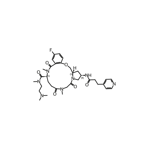 CN(C)CCN(C)C(=O)[C@@H]1CCC(=O)N(C)CC(=O)N2C[C@H](NC(=O)CCc3ccncc3)C[C@H]2COc2ccc(F)cc2C(=O)N1C